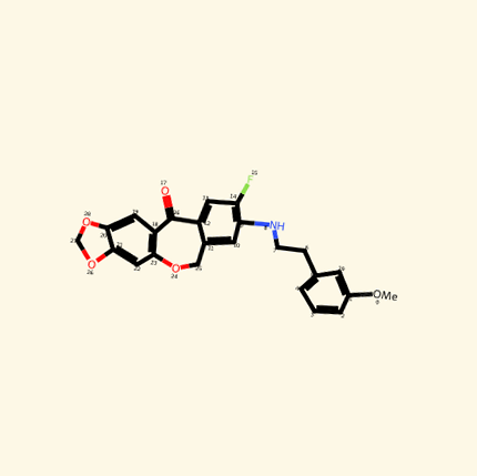 COc1cccc(CCNc2cc3c(cc2F)C(=O)c2cc4c(cc2OC3)OCO4)c1